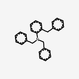 c1ccc(Cc2ccccc2N(Cc2ccccc2)Cc2ccccc2)cc1